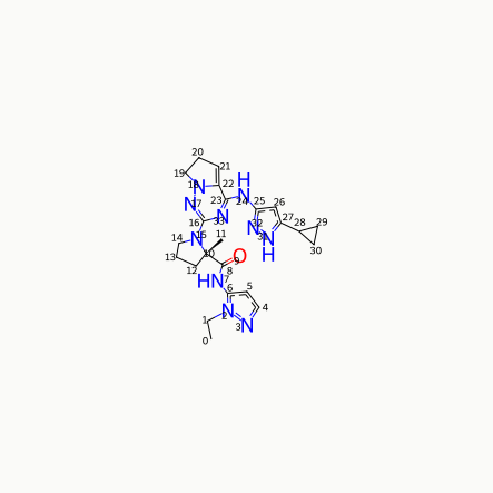 CCn1nccc1NC(=O)[C@]1(C)CCCN1C1=NN2CCC=C2C(Nc2cc(C3CC3)[nH]n2)=N1